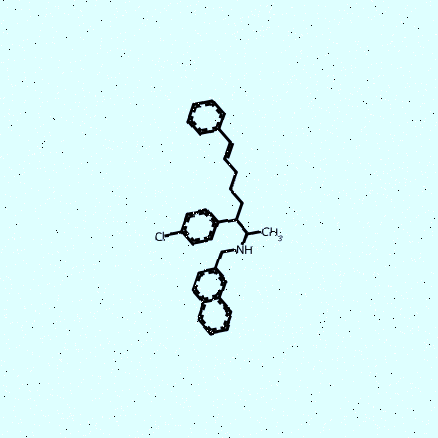 CC(NCc1ccc2ccccc2c1)C(CCCC=Cc1ccccc1)c1ccc(Cl)cc1